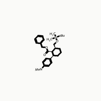 CNc1ccc([C@@H]2CCC[C@H](CO[Si](C)(C)C(C)(C)C)[C@@H]2C(=O)OCc2ccccc2)cc1